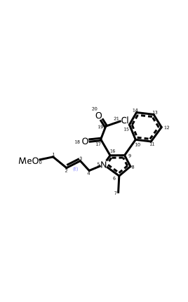 COC/C=C/Cn1c(C)cc(-c2ccccc2)c1C(=O)C(=O)Cl